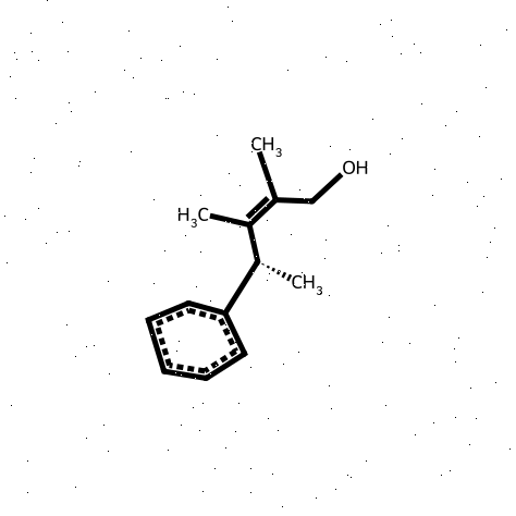 C/C(CO)=C(\C)[C@H](C)c1ccccc1